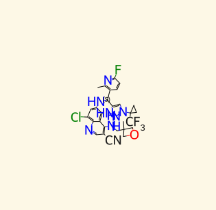 Cc1nc(F)ccc1[C@H](Nc1cc(Cl)c2ncc(C#N)c(NCC3(C)COC3)c2c1)C1=CN(C2(C(F)(F)F)CC2)NN1